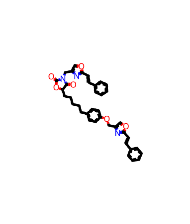 O=C1OC(CCCCCc2ccc(OCc3coc(C=Cc4ccccc4)n3)cc2)C(=O)N1Cc1coc(C=Cc2ccccc2)n1